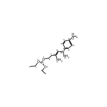 CCOP(OCC)OCC/C(N)=C/N(N)c1ccc(NC)cc1